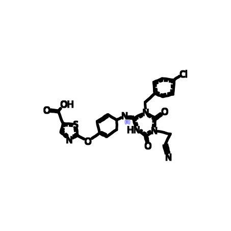 N#CCn1c(=O)[nH]/c(=N\C2C=CC(Oc3ncc(C(=O)O)s3)=CC2)n(Cc2ccc(Cl)cc2)c1=O